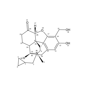 C[N@+]1(CC2CC2)CC[C@]23c4c5cc(O)c(CO)c4O[C@H]2C(=O)CCC3[C@H]1C5